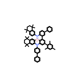 Cc1cc(C)c(-c2cc(-c3cc(-c4ccccc4)ccc3Nc3ccc4c(c3)C(C)(C)CCC4(C)C)c3c(c2)N(c2ccc(-c4ccccc4)cc2)c2cc4c(cc2B3)C(C)(C)CCC4(C)C)c(C)c1